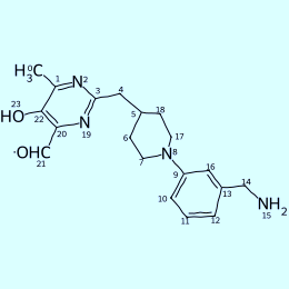 Cc1nc(CC2CCN(c3cccc(CN)c3)CC2)nc([C]=O)c1O